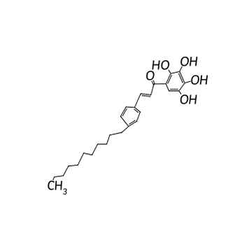 CCCCCCCCCCCc1ccc(C=CC(=O)c2cc(O)c(O)c(O)c2O)cc1